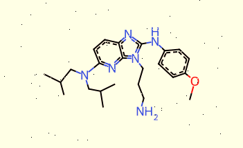 COc1ccc(Nc2nc3ccc(N(CC(C)C)CC(C)C)nc3n2CCCN)cc1